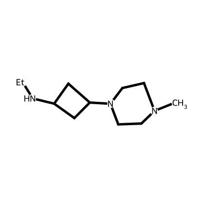 CCNC1CC(N2CCN(C)CC2)C1